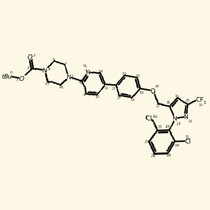 CC(C)(C)OC(=O)N1CCN(c2ccc(-c3ccc(OCc4cc(C(F)(F)F)nn4-c4c(Cl)cccc4Cl)cc3)cn2)CC1